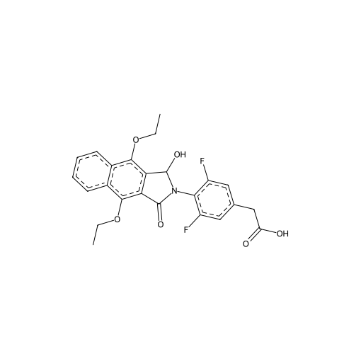 CCOc1c2c(c(OCC)c3ccccc13)C(O)N(c1c(F)cc(CC(=O)O)cc1F)C2=O